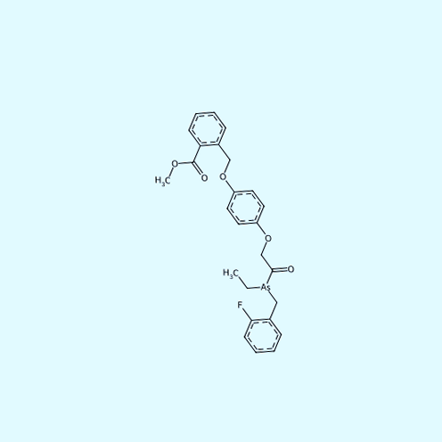 CC[As](Cc1ccccc1F)C(=O)COc1ccc(OCc2ccccc2C(=O)OC)cc1